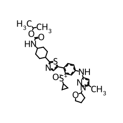 Cc1cc(Nc2ccc(-c3cnc(C4CCC(NC(=O)OC(C)C)CC4)s3)c([S+]([O-])C3CC3)c2)nn1C1CCCO1